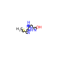 Cc1ccc(-c2ccnc3[nH]c(-c4n[nH]c5ccc(-c6cncc(O)c6)nc45)cc23)s1